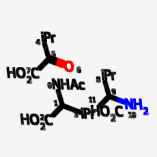 CC(=O)NC(C(=O)O)C(C)C.CC(C)C(=O)C(=O)O.CC(C)C(N)C(=O)O